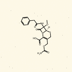 COC1(NC(=O)Cc2ccccc2)C(=O)N2C(C(=O)O)=C(COC(N)=O)CS[C@@H]21